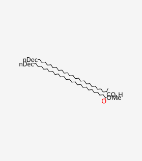 CCCCCCCCCCCCCCCCCCCCCCCCCCCCCCCCCCC(C)C(=O)O.CCCCCCCCCCCCCCCCCCCCCCCCCCCCCCCCCCCC(=O)OC